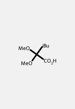 CCC(C)C(OC)(OC)C(=O)O